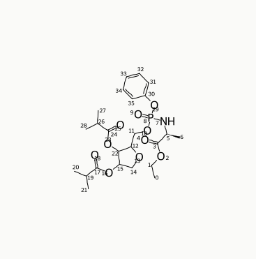 CCOC(=O)[C@H](C)NP(=O)(OCC1OCC(OC(=O)C(C)C)C1OC(=O)C(C)C)Oc1ccccc1